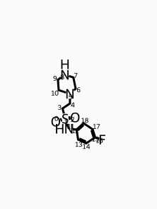 O=S(=O)(CCN1CCNCC1)Nc1ccc(F)cc1